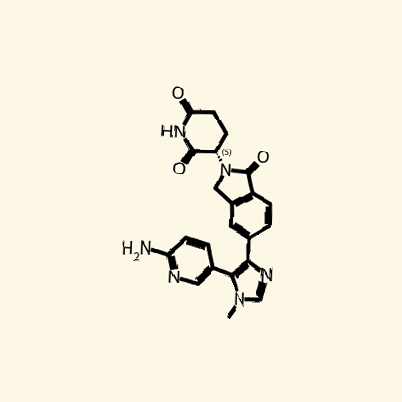 Cn1cnc(-c2ccc3c(c2)CN([C@H]2CCC(=O)NC2=O)C3=O)c1-c1ccc(N)nc1